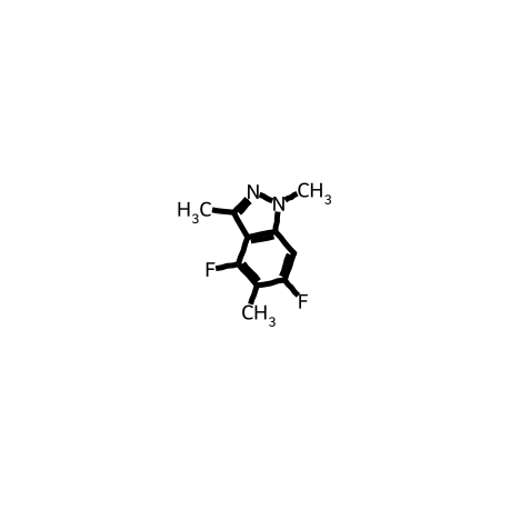 Cc1c(F)cc2c(c(C)nn2C)c1F